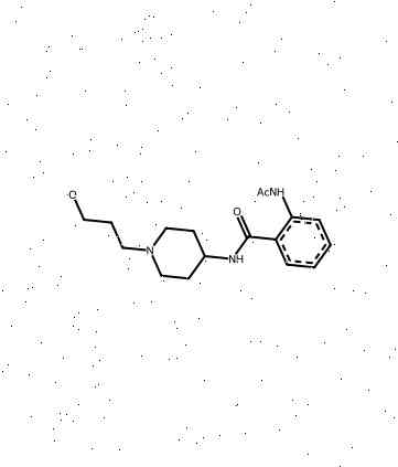 CC(=O)Nc1ccccc1C(=O)NC1CCN(CCC[O])CC1